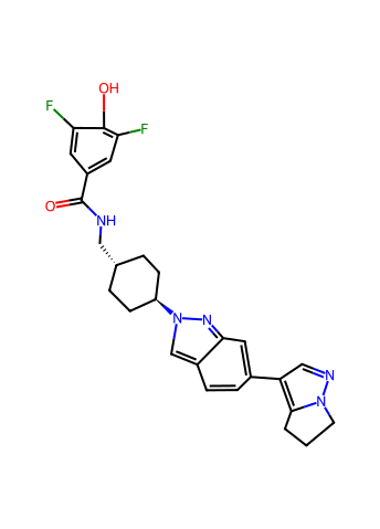 O=C(NC[C@H]1CC[C@H](n2cc3ccc(-c4cnn5c4CCC5)cc3n2)CC1)c1cc(F)c(O)c(F)c1